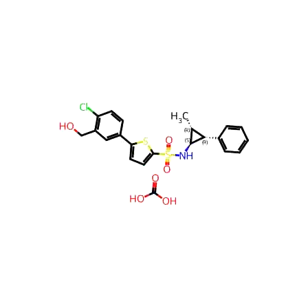 C[C@H]1[C@H](NS(=O)(=O)c2ccc(-c3ccc(Cl)c(CO)c3)s2)[C@H]1c1ccccc1.O=C(O)O